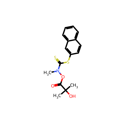 CN(OC(=O)C(C)(C)O)C(=S)Sc1ccc2ccccc2c1